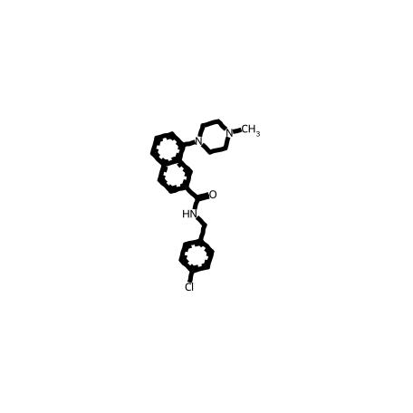 CN1CCN(c2cccc3ccc(C(=O)NCc4ccc(Cl)cc4)cc23)CC1